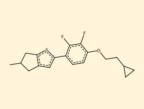 CC1Cc2cc(-c3ccc(OCCC4CC4)c(F)c3F)sc2C1